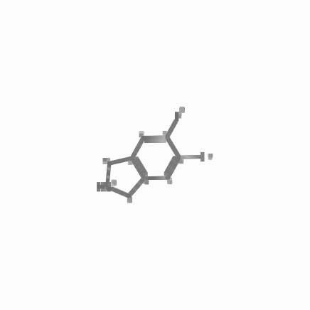 Fc1cc2c(cc1I)CNC2